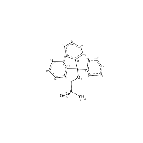 C[C@@H](C=O)COC(c1ccccc1)(c1ccccc1)c1ccccc1